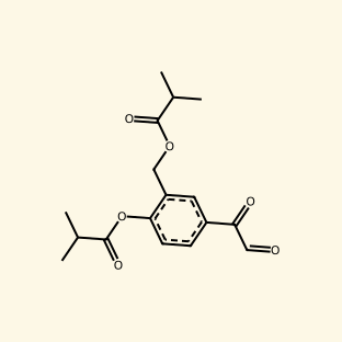 CC(C)C(=O)OCc1cc(C(=O)C=O)ccc1OC(=O)C(C)C